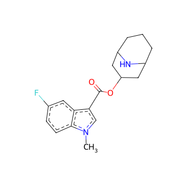 Cn1cc(C(=O)OC2CC3CCCC(C2)N3)c2cc(F)ccc21